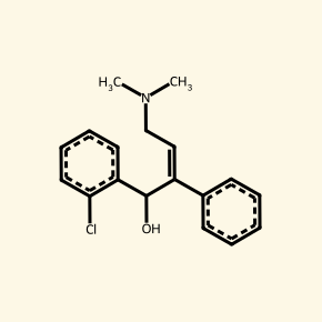 CN(C)CC=C(c1ccccc1)C(O)c1ccccc1Cl